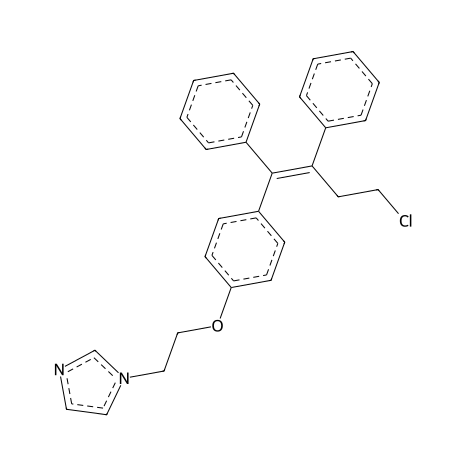 ClCCC(=C(c1ccccc1)c1ccc(OCCn2ccnc2)cc1)c1ccccc1